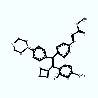 COc1ccc(/C(=C(\c2ccc(/C=C/C(=O)OC(C)(C)C)cc2)c2ccc(N3CCOCC3)cc2)C2CCC2)c(Cl)c1